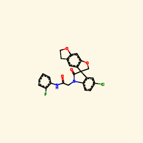 O=C(CN1C(=O)C2(COc3cc4c(cc32)CCO4)c2cc(Cl)ccc21)Nc1ccccc1F